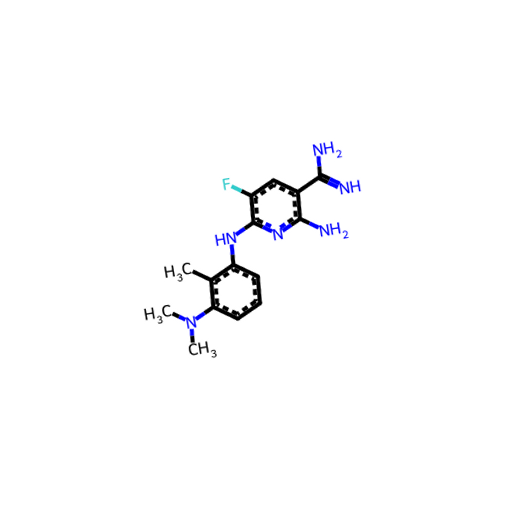 Cc1c(Nc2nc(N)c(C(=N)N)cc2F)cccc1N(C)C